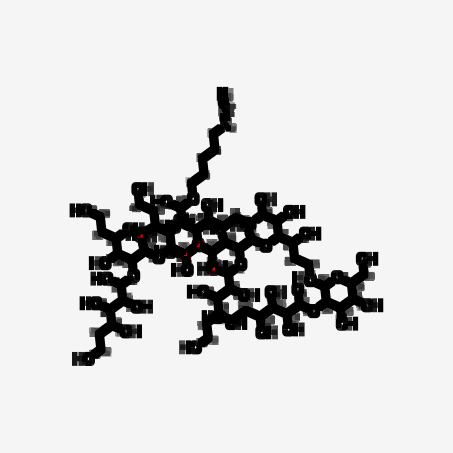 [N-]=[N+]=NCCCCCOC(O)C(O)C(OC(O)C(OC(O)C(OC(O)C(O)C(O)C(O)CCO)C(O)C(O)CCO)C(O)C(O)CCO)C(O)CCOC(O)C(O)C(OC(O)C(OC(O)C(O)C(O)C(O)CCO)C(O)C(O)CCO)C(O)CCOC1OC(CO)C(O)C(O)C1OC(O)C(O)C(O)C(O)CCO